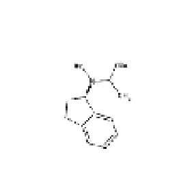 CCCCC(C)N(C(C)C)[C@@H]1CCc2ccccc21